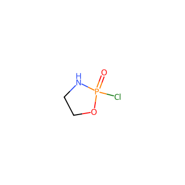 O=P1(Cl)NCCO1